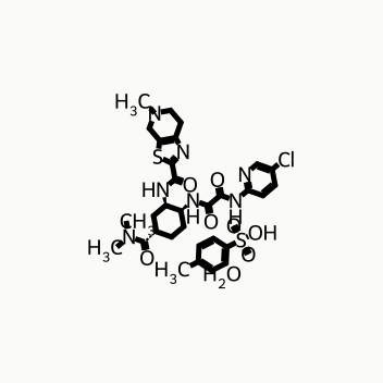 CN1CCc2nc(C(=O)N[C@@H]3C[C@@H](C(=O)N(C)C)CC[C@@H]3NC(=O)C(=O)Nc3ccc(Cl)cn3)sc2C1.Cc1ccc(S(=O)(=O)O)cc1.O